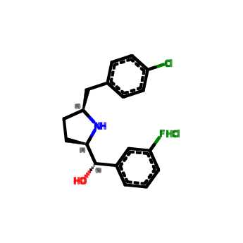 Cl.O[C@@H](c1cccc(F)c1)[C@H]1CC[C@@H](Cc2ccc(Cl)cc2)N1